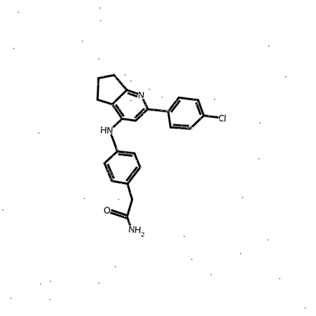 NC(=O)Cc1ccc(Nc2cc(-c3ccc(Cl)cc3)nc3c2CCC3)cc1